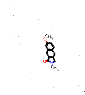 COc1ccc2c(c1)CC1C(=O)N(C)CC1C2